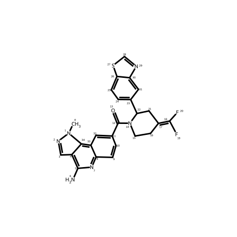 Cn1ncc2c(N)nc3ccc(C(=O)N4CCC(=C(F)F)CC4c4ccc5scnc5c4)cc3c21